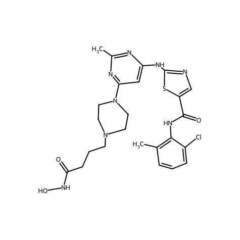 Cc1nc(Nc2ncc(C(=O)Nc3c(C)cccc3Cl)s2)cc(N2CCN(CCCC(=O)NO)CC2)n1